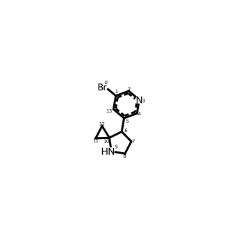 Brc1cncc(C2CCNC23CC3)c1